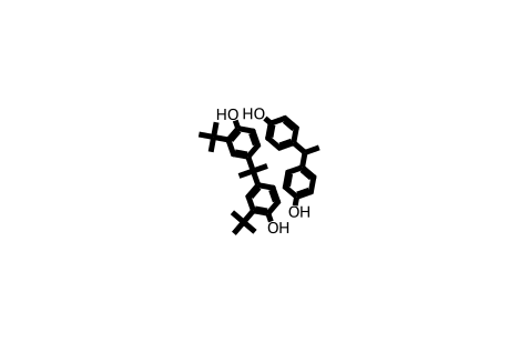 CC(C)(C)c1cc(C(C)(C)c2ccc(O)c(C(C)(C)C)c2)ccc1O.CC(c1ccc(O)cc1)c1ccc(O)cc1